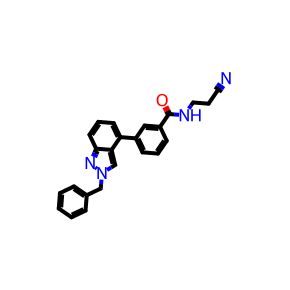 N#CCCNC(=O)c1cccc(-c2cccc3nn(Cc4ccccc4)cc23)c1